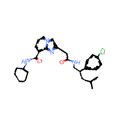 CC(C)CC(CNC(=O)Cc1cn2cccc(C(=O)NC3CCCCC3)c2n1)c1ccc(Cl)cc1